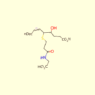 CCCCCCCCCC/C=C\C(SCCC(=O)NCC(=O)O)C(O)CCC(=O)O